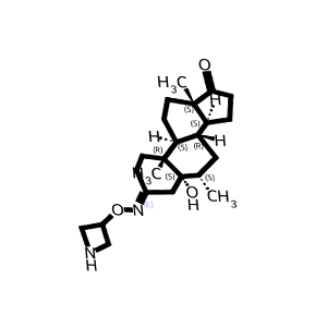 C[C@H]1C[C@H]2[C@@H]3CCC(=O)[C@@]3(C)CC[C@@H]2[C@@]2(C)CC/C(=N\OC3CNC3)C[C@]12O